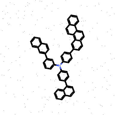 c1cc(-c2ccc3ccccc3c2)cc(N(c2ccc(-c3ccc4ccc5c6ccccc6ccc5c4c3)cc2)c2ccc(-c3cccc4ccccc34)cc2)c1